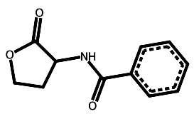 O=C(NC1CCOC1=O)c1ccccc1